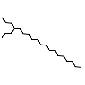 [CH2]CCCCCCCCCCCCCCC(CCC)CCC